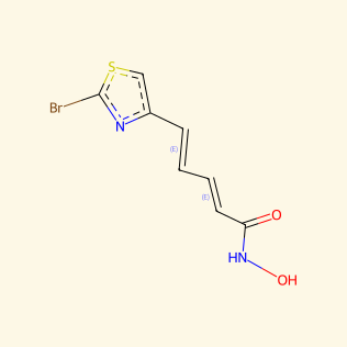 O=C(/C=C/C=C/c1csc(Br)n1)NO